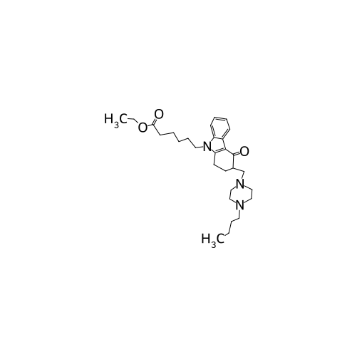 CCCCN1CCN(CC2CCc3c(c4ccccc4n3CCCCCC(=O)OCC)C2=O)CC1